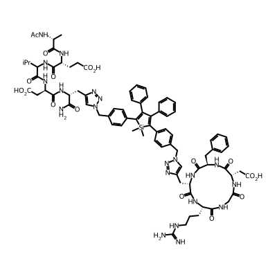 CC(=O)N[C@H](C)C(=O)N[C@H](CCC(=O)O)C(=O)NC(C(=O)N[C@H](CC(=O)O)C(=O)N[C@H](Cc1cn(Cc2ccc(C3=C(c4ccccc4)C(c4ccccc4)=C(c4ccc(Cn5cc(C[C@@H]6NC(=O)[C@@H](Cc7ccccc7)NC(=O)[C@H](CC(=O)O)NC(=O)CNC(=O)[C@H](CCCNC(=N)N)NC6=O)nn5)cc4)[Si]3(C)C)cc2)nn1)C(N)=O)C(C)C